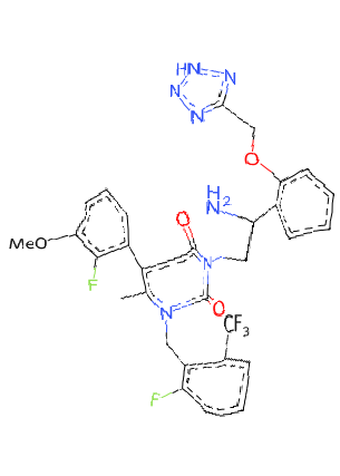 COc1cccc(-c2c(C)n(Cc3c(F)cccc3C(F)(F)F)c(=O)n(CC(N)c3ccccc3OCc3nn[nH]n3)c2=O)c1F